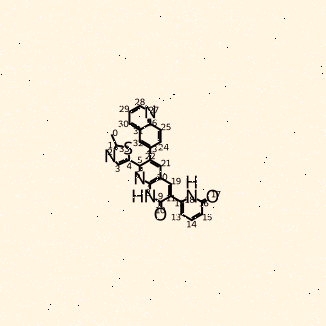 Cc1ncc(-c2nc3[nH]c(=O)c(-c4cccc(=O)[nH]4)cc3cc2-c2ccc3ncccc3c2)s1